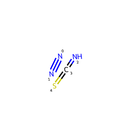 N#N.N=C=S